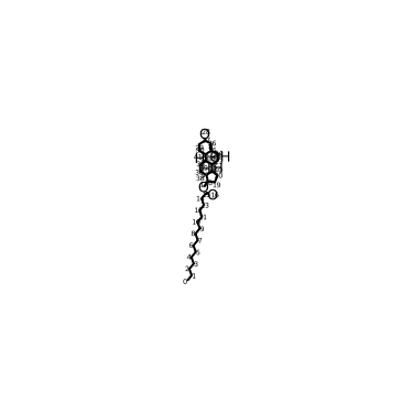 CCCCCCCCCCCCCCCC(=O)OC1CC[C@H]2[C@@H]3CCC4=CC(=O)CC[C@]4(CO)[C@@H]3CC[C@]12C